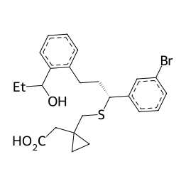 CCC(O)c1ccccc1CC[C@@H](SCC1(CC(=O)O)CC1)c1cccc(Br)c1